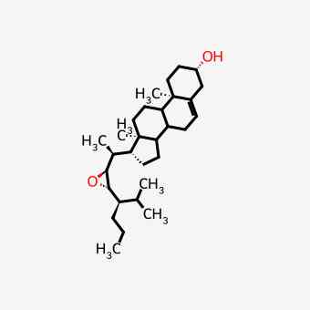 CCC[C@H](C(C)C)[C@@H]1O[C@H]1[C@@H](C)[C@H]1CCC2C3CC=C4C[C@@H](O)CC[C@]4(C)C3CC[C@@]21C